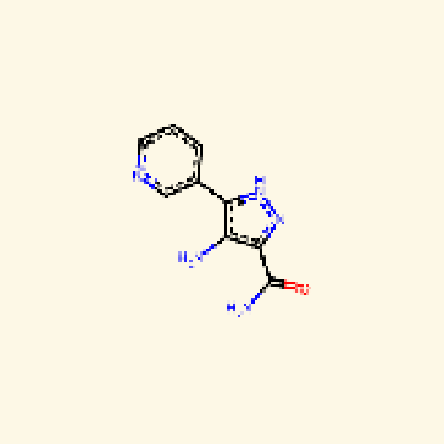 NC(=O)c1n[nH]c(-c2cccnc2)c1N